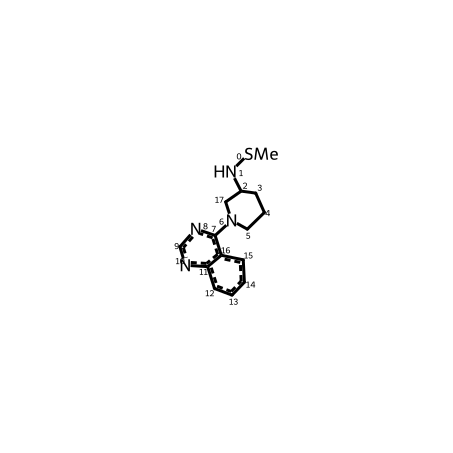 CSNC1CCCN(c2ncnc3ccccc23)C1